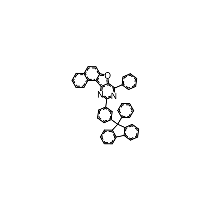 c1ccc(-c2nc(-c3cccc(C4(c5ccccc5)c5ccccc5-c5ccccc54)c3)nc3c2oc2ccc4ccccc4c23)cc1